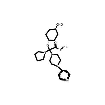 CC(C)(C)OC(=O)C(O[C@H]1CC[C@H]([C]=O)CC1)(N1CCCC1)N1CCN(c2ccncc2)CC1